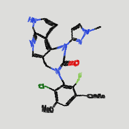 COc1cc(OC)c(Cl)c(N2Cc3cnc4[nH]ccc4c3N(c3ccn(C)n3)C2=O)c1F